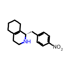 O=[N+]([O-])c1ccc(C[C@@H]2NCCC3=C2CCCC3)cc1